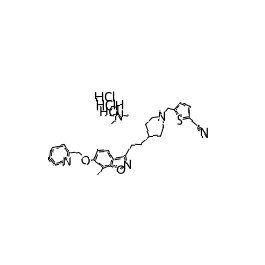 CNC.Cc1c(OCc2ccccn2)ccc2c(CCC3CCN(Cc4ccc(C#N)s4)CC3)noc12.Cl.Cl.Cl